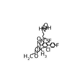 C=CC(=O)N1CCN(c2nc(=O)n3c4c(c(-c5ccc(F)cc5F)c(Cl)cc24)SC[C@@H]3CCCN2C[C@@H]3C[C@H]2CO3)[C@@H](C)C1